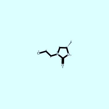 C[C@H]1CN(CCCl)C(=O)O1